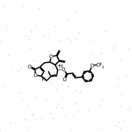 C=C1OC2CC3=C[C@@H](C/C(C)=C/[C@@H](OC(=O)/C=C/c4cccc(OC(F)(F)F)c4)[C@@H]2C1=C)OC3=O